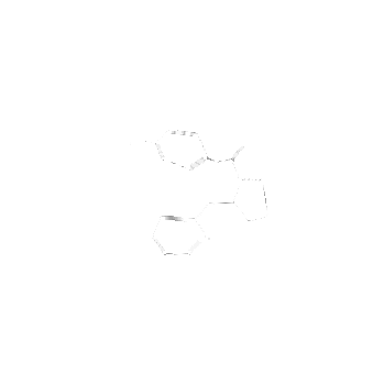 Cc1ccc(C(=O)N2CCCC2Cc2ccccn2)cc1